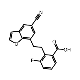 N#Cc1cc(CCc2c(F)cccc2C(=O)O)c2occc2c1